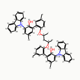 Cc1ccc(OC(C)CC(C)Oc2ccc(C)cc2-c2cc(C)cc(-n3c4ccccc4c4ccccc43)c2O)c(-c2cc(C)cc(-n3c4ccccc4c4ccccc43)c2O)c1